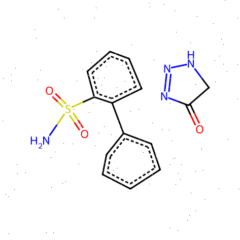 NS(=O)(=O)c1ccccc1-c1ccccc1.O=C1CNN=N1